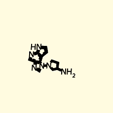 NC1CCN(n2cnc3cnc4[nH]ccc4c32)C1